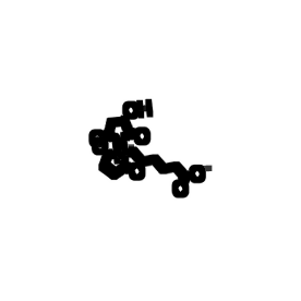 O=C([O-])CCCCC[N+]1(N2C(=O)CC(O)C2=O)C(=O)C=CC1=O